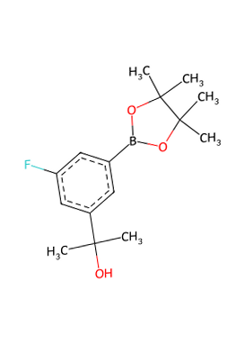 CC(C)(O)c1cc(F)cc(B2OC(C)(C)C(C)(C)O2)c1